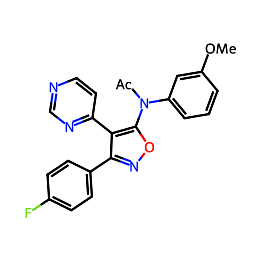 COc1cccc(N(C(C)=O)c2onc(-c3ccc(F)cc3)c2-c2ccncn2)c1